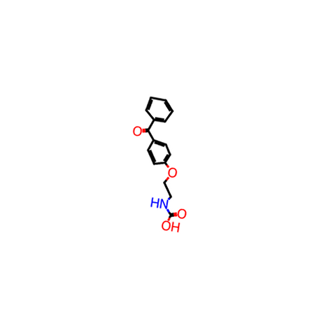 O=C(O)NCCOc1ccc(C(=O)c2ccccc2)cc1